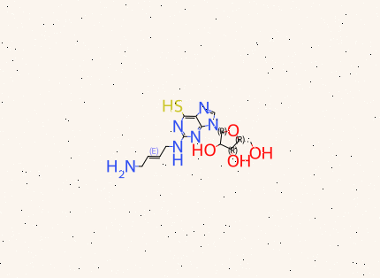 NC/C=C/CNc1nc(S)c2ncn([C@@H]3O[C@H](CO)[C@H](O)C3O)c2n1